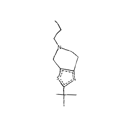 CCCN1CCc2nc(C(C)(C)C)sc2C1